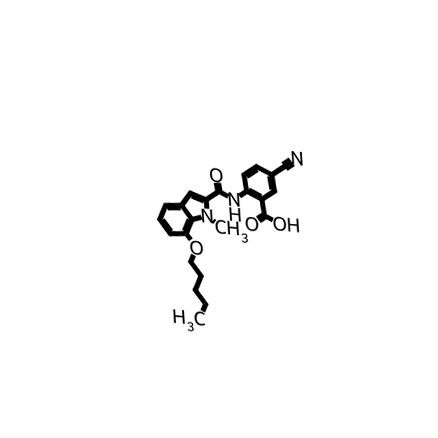 CCCCCOc1cccc2cc(C(=O)Nc3ccc(C#N)cc3C(=O)O)n(C)c12